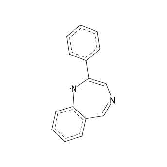 C1=NC=C(c2ccccc2)[N]c2ccccc21